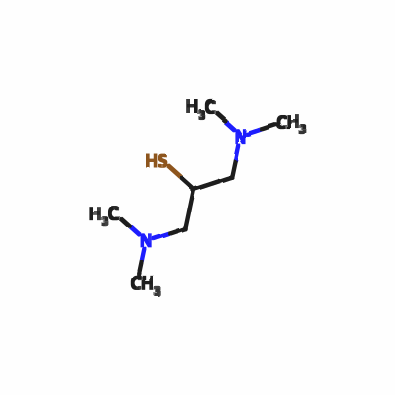 CN(C)CC(S)CN(C)C